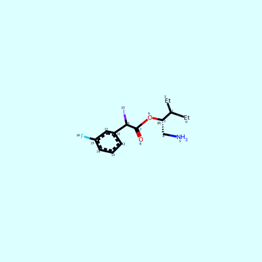 CCC(CC)[C@H](CN)OC(=O)C(I)c1cccc(F)c1